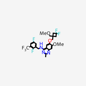 COCC1(COc2cc3c(NCc4cc(F)cc(C(F)(F)F)c4F)nc(C)nc3cc2OC)CC(F)(F)C1